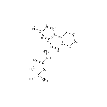 CC(C)(C)OC(=O)NNC(=O)c1cc(Br)cnc1N1CCOCC1